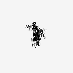 CC[C@H](C)[C@@H]([C@@H](CC(=O)N1CCC[C@H]1[C@H](OC)[C@@H](C)C(=O)N[C@@H](Cc1ccccc1)C(=O)NC)OC)N(C)C(=O)C(NC(=O)[C@H](C(C)C)N(C)C(=O)CNC(=O)[C@H](CCCNC(N)=O)NC(=O)C(NC(=O)CCCCCN1C(=O)C=CC1=O)C(C)C)C(C)C